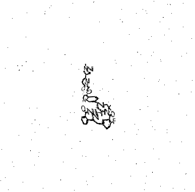 Cn1cc(-c2ccc(=O)n(CCOc3ccnc4cc(N5CCN(C(=O)c6cc(Cc7n[nH]c(=O)c8ccccc78)ccc6F)C(C)(C)C5)ccc34)n2)cn1